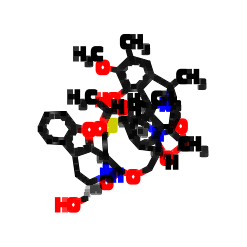 COc1c(C)cc2c(c1O)[C@H]1[C@@H]3[C@@H]4SC[C@]5(N[C@H](CO)Cc6c5oc5ccccc65)C(=O)OC[C@@H](c5c6c(c(C)c(OC(C)=O)c54)OCO6)N3C3(C)CN1C2(C)C3